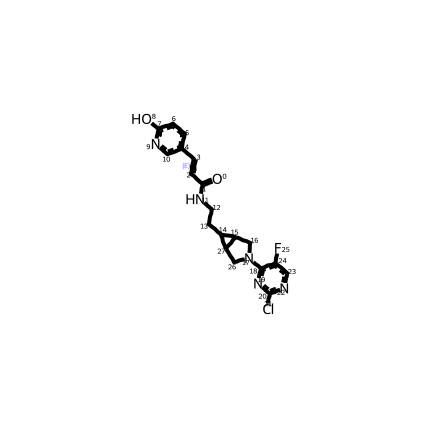 O=C(/C=C/c1ccc(O)nc1)NCCC1C2CN(c3nc(Cl)ncc3F)CC12